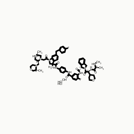 CN[C@@H](C)C(=O)N[C@H](C(=O)N1Cc2ccccc2[C@H]1C(=O)Nc1cc(C(=O)Nc2ccc(NC(=O)C3(C)CN(C(=O)CN4C[C@@H](C)NC[C@@H]4CN4CCOC[C@H]4C)c4cc(Cc5ccc(F)cc5)ccc43)cc2)ccc1F)C1CCOCC1.Cl.Cl.Cl